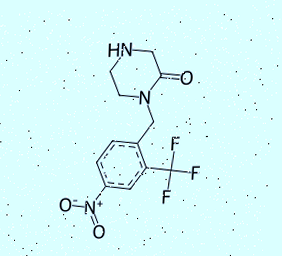 O=C1CNCCN1Cc1ccc([N+](=O)[O-])cc1C(F)(F)F